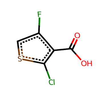 O=C(O)c1c(F)csc1Cl